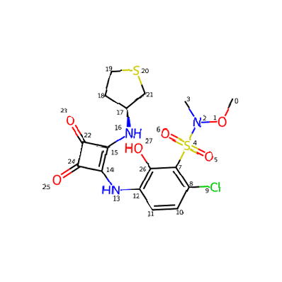 CON(C)S(=O)(=O)c1c(Cl)ccc(Nc2c(N[C@H]3CCSC3)c(=O)c2=O)c1O